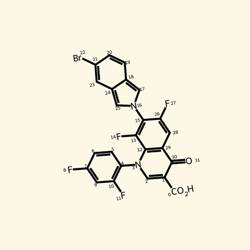 O=C(O)c1cn(-c2ccc(F)cc2F)c2c(F)c(-n3cc4ccc(Br)cc4c3)c(F)cc2c1=O